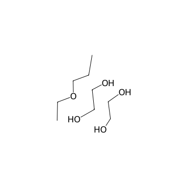 CCCOCC.OCCO.OCCO